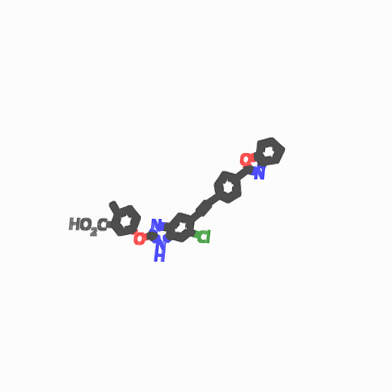 Cc1ccc(Oc2nc3cc(C#Cc4ccc(-c5nc6ccccc6o5)cc4)c(Cl)cc3[nH]2)cc1C(=O)O